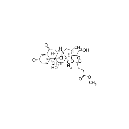 COC(=O)CCC(=O)O[C@]1(C(=O)CO)[C@@H](C)C[C@H]2[C@@H]3CC(=O)C4=CC(=O)C=C[C@]4(C)[C@@]3(Cl)[C@@H](O)C[C@@]21C